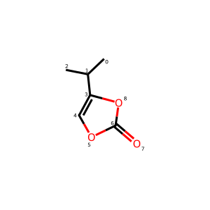 CC(C)c1coc(=O)o1